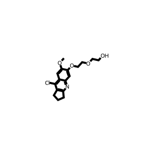 COc1cc2c(Cl)c3c(nc2cc1OCCOCCO)CCC3